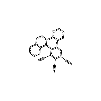 N#Cc1cc2c3cccnc3c3ccc4ccccc4c3c2c(C#N)c1C#N